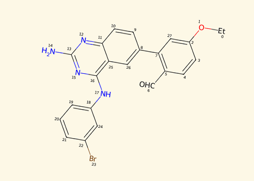 CCOc1ccc(C=O)c(-c2ccc3nc(N)nc(Nc4cccc(Br)c4)c3c2)c1